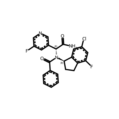 NC(=O)[C@@H](c1cncc(F)c1)N(C(=O)c1ccccc1)[C@@H]1CCc2c(F)cc(Cl)cc21